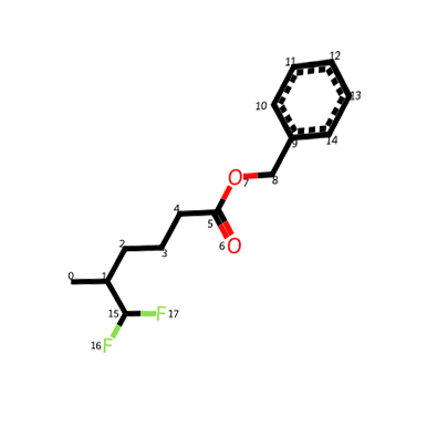 CC(CCCC(=O)OCc1ccccc1)C(F)F